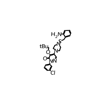 CC(C)(C)COc1c(N2CCN(SCc3ccccc3N)CC2)cnn(-c2cccc(Cl)c2)c1=O